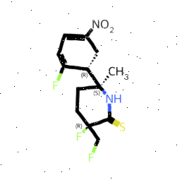 C[C@@]1([C@H]2CC([N+](=O)[O-])=CC=C2F)CC[C@@](F)(CF)C(=S)N1